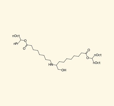 CCCCCCCCC(CCC)OC(=O)CCCCCCCNC(CO)CCCCCCCC(=O)OC(CCCCCCCC)CCCCCCCC